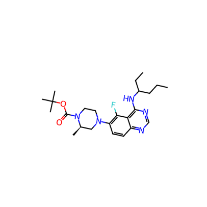 CCCC(CC)Nc1ncnc2ccc(N3CCN(C(=O)OC(C)(C)C)[C@H](C)C3)c(F)c12